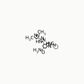 CCn1nc(C)cc1-c1nnc(-c2cc(C(N)=O)cc3c2cnn3C[C@H]2CCCCN2C)[nH]1